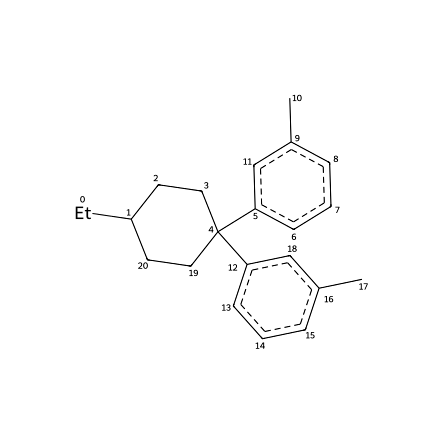 CCC1CCC(c2cccc(C)c2)(c2cccc(C)c2)CC1